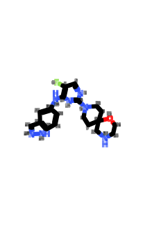 Fc1cnc(N2CCC3(CC2)CNCCO3)nc1Nc1ccc2[nH]ncc2c1